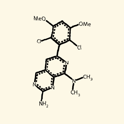 COc1cc(OC)c(Cl)c(-c2cc3cnc(N)nc3c(N(C)C)n2)c1Cl